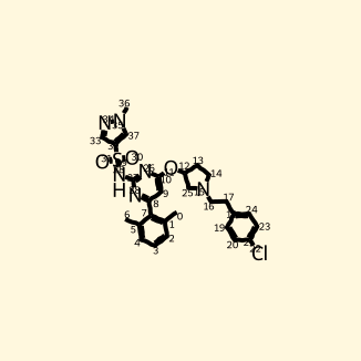 Cc1cccc(C)c1-c1cc(OC2CCN(CCc3ccc(Cl)cc3)C2)nc(NS(=O)(=O)c2cnn(C)c2)n1